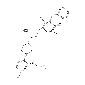 Cc1cn(CCCN2CCN(c3ccc(Cl)cc3OCC(F)(F)F)CC2)c(=O)n(Cc2ccccc2)c1=O.Cl